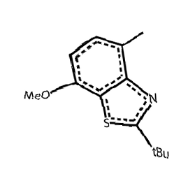 COc1ccc(C)c2nc(C(C)(C)C)sc12